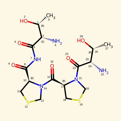 C[C@@H](O)[C@H](N)C(=O)NC(=O)[C@@H]1CSCN1C(=O)[C@@H]1CSCN1C(=O)[C@@H](N)[C@@H](C)O